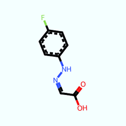 O=C(O)/C=N\Nc1ccc(F)cc1